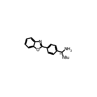 CCCC[C@H](N)c1ccc(-c2nc3ccccc3o2)cc1